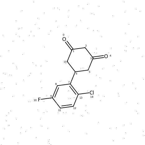 O=C1CC(=O)CC(c2cc(F)ccc2Cl)C1